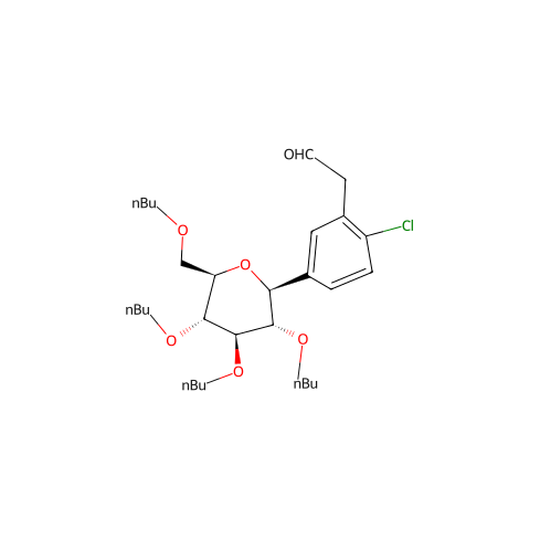 CCCCOC[C@H]1O[C@@H](c2ccc(Cl)c(CC=O)c2)[C@H](OCCCC)[C@@H](OCCCC)[C@@H]1OCCCC